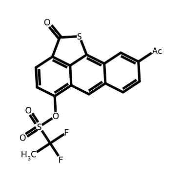 CC(=O)c1ccc2cc3c(OS(=O)(=O)C(C)(F)F)ccc4c3c(c2c1)SC4=O